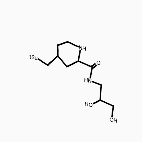 CC(C)(C)CC1CCNC(C(=O)NCC(O)CO)C1